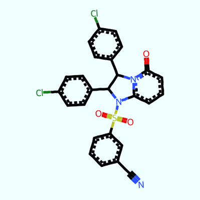 N#Cc1cccc(S(=O)(=O)N2c3cccc(=O)n3C(c3ccc(Cl)cc3)C2c2ccc(Cl)cc2)c1